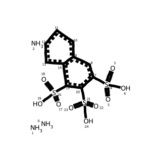 N.N.N.O=S(=O)(O)c1cc2ccccc2c(S(=O)(=O)O)c1S(=O)(=O)O